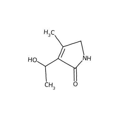 CC1=C(C(C)O)C(=O)NC1